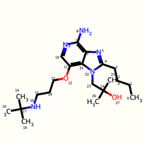 CCCCc1nc2c(N)ncc(OCCCNC(C)(C)C)c2n1CC(C)(C)O